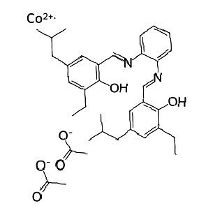 CC(=O)[O-].CC(=O)[O-].CCc1cc(CC(C)C)cc(C=Nc2ccccc2N=Cc2cc(CC(C)C)cc(CC)c2O)c1O.[Co+2]